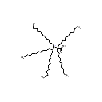 CCCCCCCCCC/N=C(\N(CCCCCCCCCC)CCCCCCCCCC)[N+](CCCCCCCCCC)(CCCCCCCCCC)C(=O)O